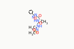 CC[C@H](NC(=O)CN/C(C)=N/S(C)(=O)=O)C(=O)c1nc(-c2ccccc2)no1